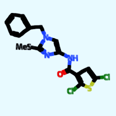 CSc1nc(NC(=O)c2cc(Cl)sc2Cl)cn1Cc1ccccc1